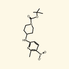 Cc1nc(NC2CCN(C(=O)OC(C)(C)C)CC2)ccc1[N+](=O)[O-]